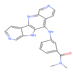 CN(C)C(=O)c1cccc(Nc2c3ccncc3nc3c2[nH]c2cnccc23)c1